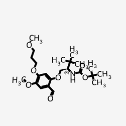 COCCCOc1cc(OC[C@H](NC(=O)OC(C)(C)C)C(C)(C)C)c(C=O)cc1OC